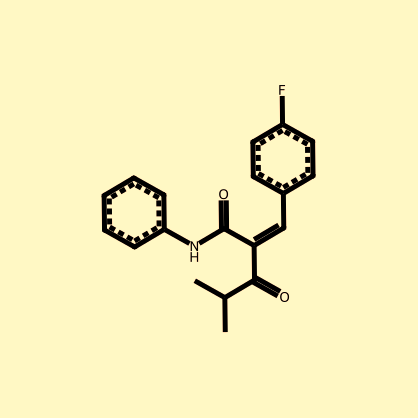 CC(C)C(=O)C(=Cc1ccc(F)cc1)C(=O)Nc1ccccc1